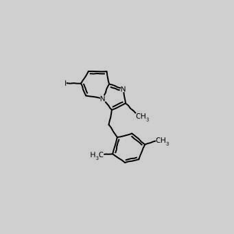 Cc1ccc(C)c(Cc2c(C)nc3ccc(I)cn23)c1